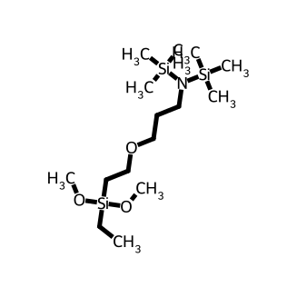 CC[Si](CCOCCCN([Si](C)(C)C)[Si](C)(C)C)(OC)OC